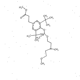 COCCN(C)CCOP(C)Oc1c(C(C)(C)C)cc(CCC(=O)OC)cc1C(C)(C)C